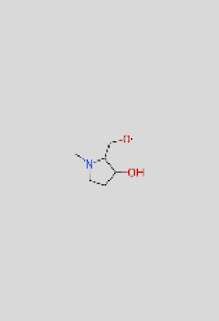 CN1CCC(O)C1C[O]